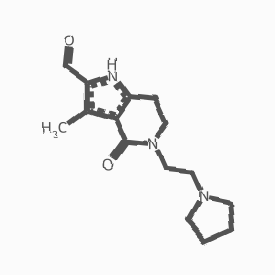 Cc1c(C=O)[nH]c2c1C(=O)N(CCN1CCCC1)CC2